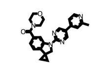 Cc1cc(-c2cnc(N3CC4(CC4)c4ccc(C(=O)N5CCOCC5)cc43)nc2)ccn1